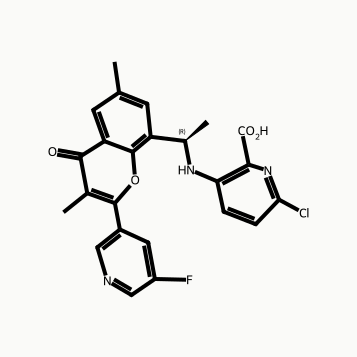 Cc1cc([C@@H](C)Nc2ccc(Cl)nc2C(=O)O)c2oc(-c3cncc(F)c3)c(C)c(=O)c2c1